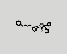 O=C(OC1C[N+]2(CCCOc3ccccc3)CCC1CC2)C(O)(c1cccs1)c1cccs1